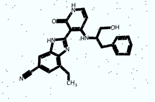 CCc1cc(C#N)cc2[nH]c(-c3c(NC(CO)Cc4ccccc4)cc[nH]c3=O)nc12